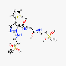 CS(=O)(=O)CCNC(=O)CNC(=O)C1C(c2cccs2)C=NN1NCCS(C)(=O)=O